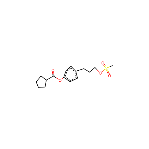 CS(=O)(=O)OCCCc1ccc(OC(=O)C2CCCC2)cc1